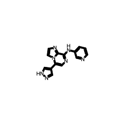 c1cncc(Nc2ncc(-c3cn[nH]c3)n3ccnc23)c1